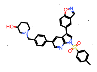 Cc1ccc(S(=O)(=O)n2cc(-c3ccc4oncc4c3)c3cc(-c4ccc(CN5CCCC(O)C5)cc4)cnc32)cc1